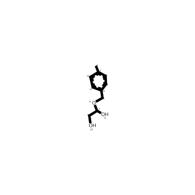 Cc1ccc(COC(O)CO)cc1